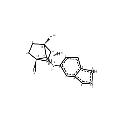 c1cc2[nH]ncc2cc1N[C@@H]1[C@@H]2CC[C@H]1NC2